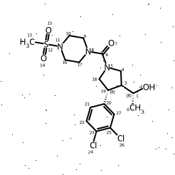 C[C@@H](O)C1CN(C(=O)N2CCN(S(C)(=O)=O)CC2)C[C@H]1c1ccc(Cl)c(Cl)c1